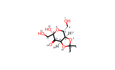 CC1(C)O[C@@H]2[C@@H](CO)O[C@](O)(CO)C(=O)[C@@H]2O1